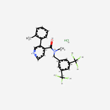 Cc1ccccc1-c1cnccc1C(=O)N(C)Cc1cc(C(F)(F)F)cc(C(F)(F)F)c1.Cl